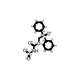 O=C(N[SH](=O)=O)OCP(=O)(c1ccccc1)c1ccccc1